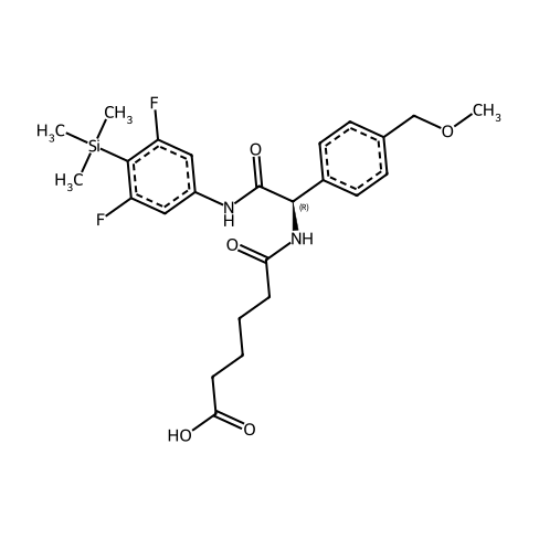 COCc1ccc([C@@H](NC(=O)CCCCC(=O)O)C(=O)Nc2cc(F)c([Si](C)(C)C)c(F)c2)cc1